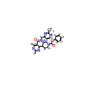 Cc1nc(C)c(C(=O)NCc2ccnc(C(F)(F)F)n2)c(C2CCN(C(=O)Oc3ccccc3)CC2)n1